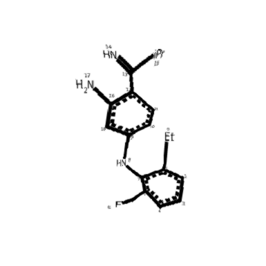 CCc1cccc(F)c1Nc1ccc(C(=N)C(C)C)c(N)c1